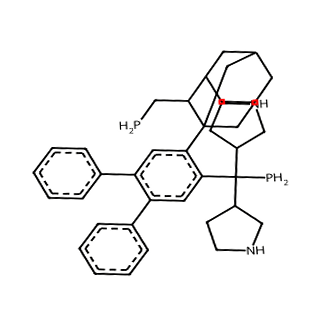 PCC1C2CC3CC(C2)CC1(c1cc(-c2ccccc2)c(-c2ccccc2)cc1C(P)(C1CCNC1)C1CCNC1)C3